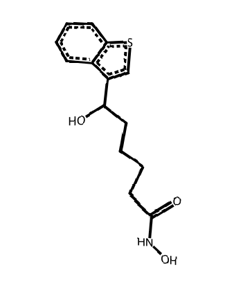 O=C(CCCCC(O)c1csc2ccccc12)NO